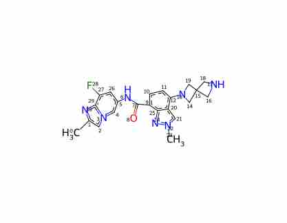 Cc1cn2cc(NC(=O)c3ccc(N4CC5(CNC5)C4)c4cn(C)nc34)cc(F)c2n1